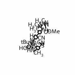 COC(=O)C[C@@H]1N=C(c2ccc(-c3ccc(C(=O)N[C@H](C(=O)N4C[C@H](O)C[C@H]4C(=O)N[C@@H](C)c4ccc(-c5scnc5C)cc4)C(C)(C)C)cc3C#N)cc2)c2c(sc(C)c2C)-n2c(C)nnc21